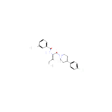 CC[C@H](C)[C@@H](NC(=O)c1cccc(C)c1)C(=O)N1CCC(c2ccc(Cl)cc2)CC1